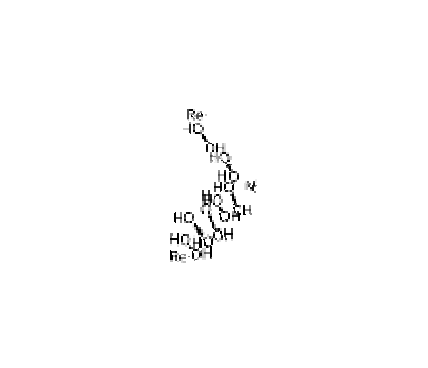 OO.OO.OO.OO.OO.OO.OO.[N].[Re].[Re]